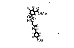 COC(=O)c1cc(S(=O)(=O)NCCc2coc(-c3ccc(C(C)(C)C)cc3)n2)cc(C)c1C